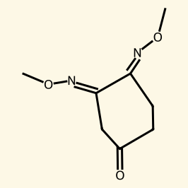 CON=C1CCC(=O)CC1=NOC